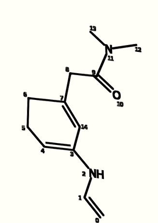 C=CNC1=CCCC(CC(=O)N(C)C)=C1